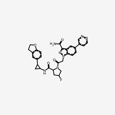 NC(=O)c1nn(CC(=O)N2CC(F)CC2C(=O)NC2CC2c2ccc3c(c2)CCO3)c2ccc(-c3ccnnc3)cc12